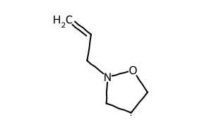 C=CCN1C[CH]CO1